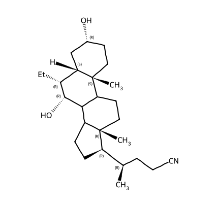 CC[C@H]1[C@@H](O)C2C3CC[C@H]([C@H](C)CCC#N)[C@@]3(C)CCC2[C@@]2(C)CC[C@@H](O)C[C@@H]12